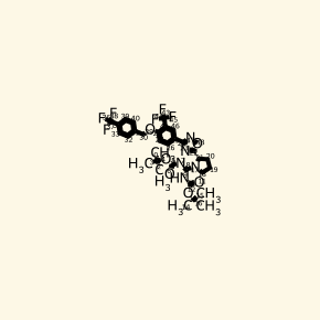 CC(C)(C)OC(=O)/N=C(\NC(=O)OC(C)(C)C)N1CCC[C@H]1c1nc(-c2ccc(OCc3ccc(C(F)(F)F)cc3)c(C(F)(F)F)c2)no1